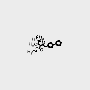 CCOC(=O)C(C(=O)Cc1ccc(-c2ccccc2)cc1)[C@@H](C)C(=O)NC